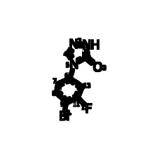 O=c1[nH]ncn1-c1ccc(Br)c(F)c1